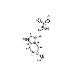 COC(=O)NCCc1c[nH]c2ccc(OC)cc12